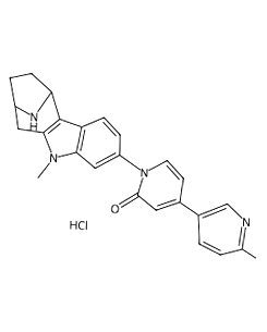 Cc1ccc(-c2ccn(-c3ccc4c5c(n(C)c4c3)CC3CCC5N3)c(=O)c2)cn1.Cl